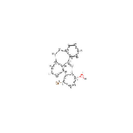 COc1ccc(Br)cc1C=C1c2ccccc2CCc2ccccc21